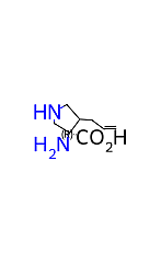 C=CCC1CNC[C@@]1(N)C(=O)O